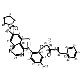 Cc1cc(N=S2(=O)CCCC2)cc2ncnc(Nc3ccc(F)cc3O[C@H](C)C(=O)NCc3ccccc3)c12